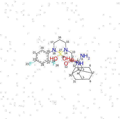 NC(=O)C12CC3CC(C1)C(NC(=O)CN1CCCN(c4ccc(F)cc4F)S1(O)O)C(C3)C2